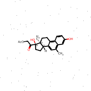 CC(=O)OCC(=O)[C@@]1(O)CC[C@H]2c3cc(C)c4cc(O)ccc4c3CC[C@@]21C